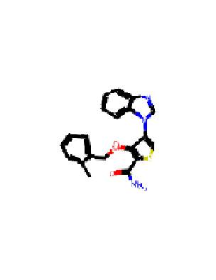 Cc1ccccc1COc1c(-n2cnc3ccccc32)csc1C(N)=O